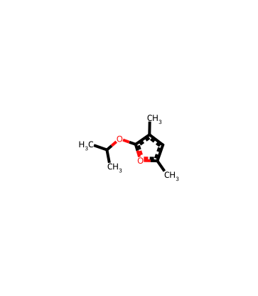 Cc1cc(C)c(OC(C)C)o1